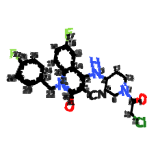 N#Cc1c(NC2CCN(C(=O)CCl)CC2)c2cc(F)ccc2n(Cc2ccc(F)cc2)c1=O